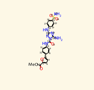 COC(=O)c1ccc(-c2ccc(NC(=O)n3nc(Nc4ccc(S(N)(=O)=O)cc4)nc3N)cc2)o1